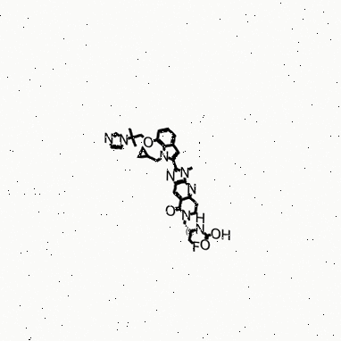 Cn1c(-c2cc3cccc(OCC(C)(C)n4ccnc4)c3n2CC2CC2)nc2cc3c(nc21)CCN(C[C@@H](CF)NC(=O)O)C3=O